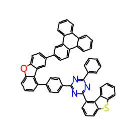 c1ccc(-c2nc(-c3ccc(-c4cccc5oc6ccc(-c7ccc8c9ccccc9c9ccccc9c8c7)cc6c45)cc3)nc(-c3cccc4sc5ccccc5c34)n2)cc1